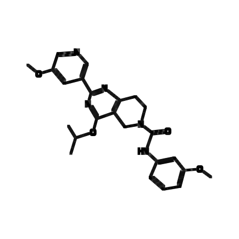 COc1cccc(NC(=O)N2CCc3nc(-c4cncc(OC)c4)nc(OC(C)C)c3C2)c1